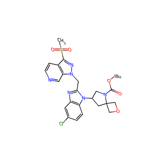 CC(C)(C)OC(=O)N1CC(n2c(Cn3nc(S(C)(=O)=O)c4ccncc43)nc3cc(Cl)ccc32)CC12COC2